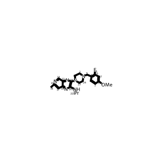 COc1ccc(CN2CCN(c3nc4cnc(C)cc4nc3NC(C)C)CC2)c(F)c1